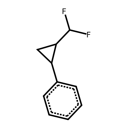 FC(F)C1CC1c1ccccc1